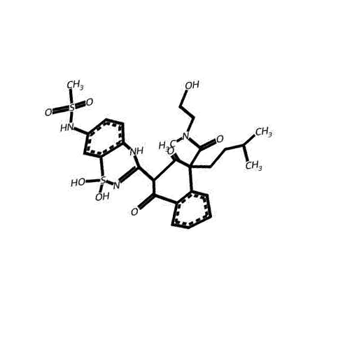 CC(C)CCC1(C(=O)N(C)CCO)C(=O)C(C2=NS(O)(O)c3cc(NS(C)(=O)=O)ccc3N2)C(=O)c2ccccc21